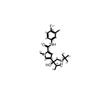 Cc1cc(NC(=O)c2cc(C(O)(CNC(C)(C)C)C(C)C)cn2C)ccc1F